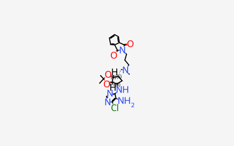 CN(CCCN1C(=O)c2ccccc2C1=O)C[C@@H]1C[C@@H](Nc2ncnc(Cl)c2N)[C@@H]2OC(C)(C)O[C@H]12